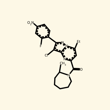 CCc1cc(C(=O)N2CCCCCC2C)nc2c(Cl)c(-c3ccc([N+](=O)[O-])cc3F)nn12